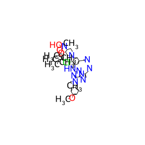 CCN(Cc1ccc(OC)cc1)c1nc(Nc2cc(C#N)cc(N3CC[C@@H](N(C)C(=O)O)[C@H](O[Si](C)(C)C(C)(C)C)C3)c2Cl)nn2c(C#N)cnc12